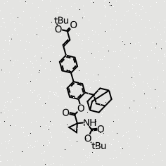 CC(C)(C)OC(=O)C=Cc1ccc(-c2ccc(OC(=O)C3(NC(=O)OC(C)(C)C)CC3)c(C34CC5CC(CC(C5)C3)C4)c2)cc1